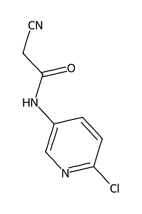 N#CCC(=O)Nc1ccc(Cl)nc1